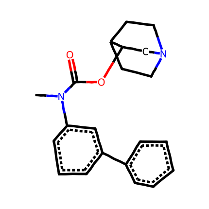 CN(C(=O)OC1CN2CCC1CC2)c1cccc(-c2ccccc2)c1